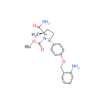 CC(C)(C)OC(=O)N1[C@@H](c2ccc(OCc3ccccc3N)cc2)CC[C@@]1(C)C(N)=O